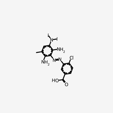 Cc1cc(N(I)I)c(N)c(/N=N/c2cc(C(=O)O)ccc2Cl)c1N